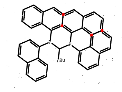 CCCCC(P(c1cccc2ccccc12)c1cccc2ccccc12)P(c1cccc2ccccc12)c1cccc2ccccc12